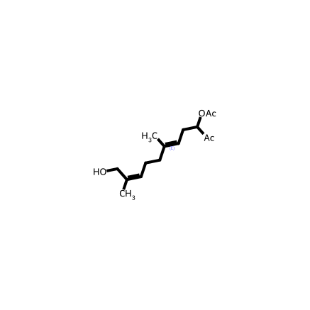 CC(=O)OC(C/C=C(\C)CCC=C(C)CO)C(C)=O